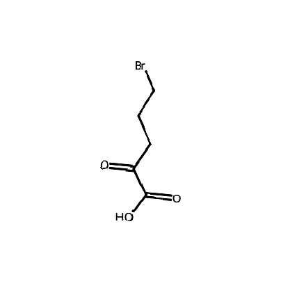 O=C(O)C(=O)CCCBr